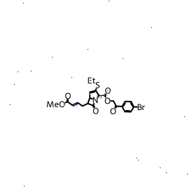 CCSC1=CC2C(C/C=C/C(=O)OC)C(=O)N2[C@@H]1C(=O)OCC(=O)c1ccc(Br)cc1